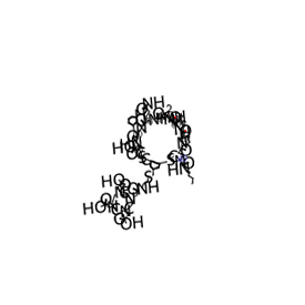 CCCCNC(=O)/N=C/C1CSCc2cc(CSCCNC(=O)CN3CCN(CC(=O)O)CCN(CC(=O)O)CCN(CC(=O)O)CC3)cc(c2)CSC[C@@H](C(=O)O)NC(=O)[C@H](Cc2ccccc2)NC(=O)[C@H](CCC(N)=O)NC(=O)[C@H](CC)NC(=O)[C@@H]2CCCN2C(=O)[C@@H]2CCCN2C1=O